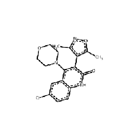 Cc1noc(C)c1-c1c(N2CCOCC2)c2cc(Cl)ccc2[nH]c1=O